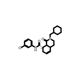 O=C(Nc1cccc(Cl)c1)[C@H]1CC=CC2CCN(CC3CCCCC3)C(=O)C21